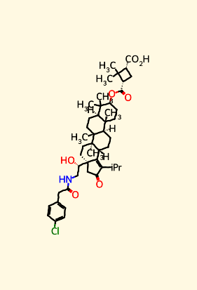 CC(C)C1=C2[C@H]3CC[C@@H]4[C@@]5(C)CC[C@H](OC(=O)[C@H]6C[C@@H](C(=O)O)C6(C)C)C(C)(C)[C@@H]5CC[C@@]4(C)[C@]3(C)CC[C@@]2([C@@H](O)CNC(=O)Cc2ccc(Cl)cc2)CC1=O